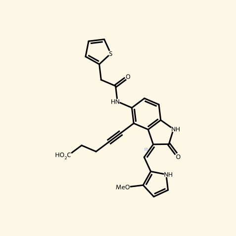 COc1cc[nH]c1/C=C1\C(=O)Nc2ccc(NC(=O)Cc3cccs3)c(C#CCCC(=O)O)c21